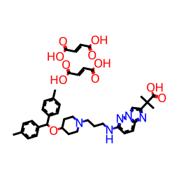 Cc1ccc(C(OC2CCN(CCCNc3ccc4nc(C(C)(C)C(=O)O)cn4n3)CC2)c2ccc(C)cc2)cc1.O=C(O)C=CC(=O)O.O=C(O)C=CC(=O)O